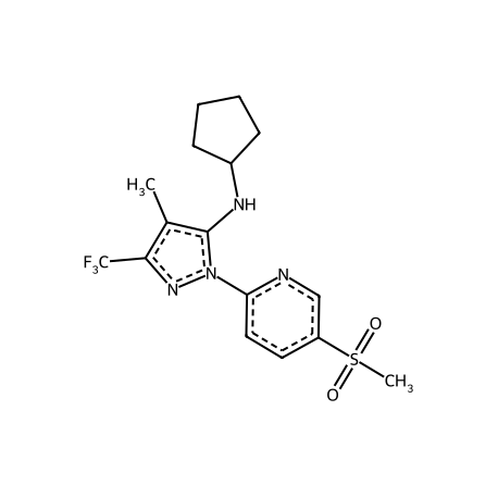 Cc1c(C(F)(F)F)nn(-c2ccc(S(C)(=O)=O)cn2)c1NC1CCCC1